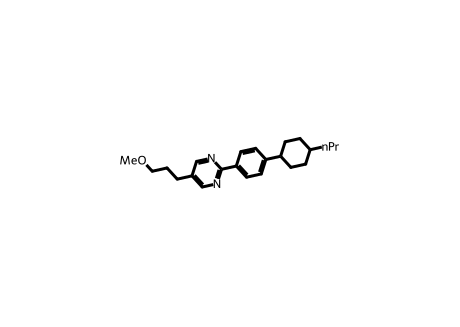 CCCC1CCC(c2ccc(-c3ncc(CCCOC)cn3)cc2)CC1